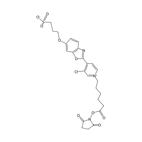 O=C(CCCCC[n+]1ccc(-c2nc3ccc(OCCCS(=O)(=O)[O-])cc3o2)c(Cl)c1)ON1C(=O)CCC1=O